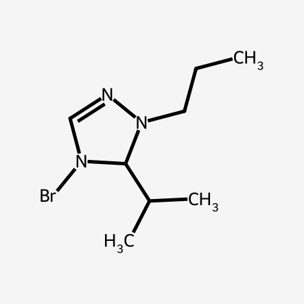 CCCN1N=CN(Br)C1C(C)C